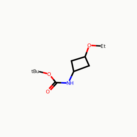 CCOC1CC(NC(=O)OC(C)(C)C)C1